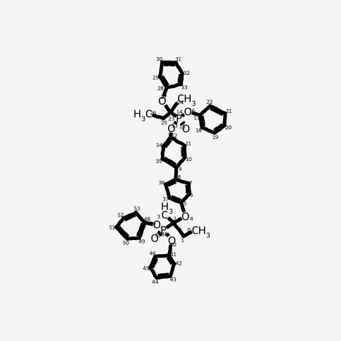 CCC(C)(Oc1ccc(-c2ccc(OP(=O)(Oc3ccccc3)C(C)(CC)Oc3ccccc3)cc2)cc1)P(=O)(Oc1ccccc1)Oc1ccccc1